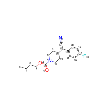 CCCCOC(=O)N1CCC(C(C#N)c2ccc(F)cc2)CC1